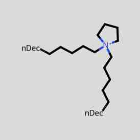 CCCCCCCCCCCCCCC[N+]1(CCCCCCCCCCCCCCC)CCCC1